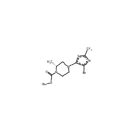 C[C@@H]1CN(c2sc(C(F)(F)F)nc2Br)CCN1C(=O)OC(C)(C)C